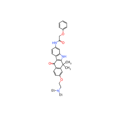 CCN(CC)CCOc1ccc2c(c1)C(C)(C)c1[nH]c3cc(NC(=O)COc4ccccc4)ccc3c1C2=O